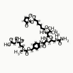 CC(C)[C@H](NC(=O)CCCCC(=O)ON1C(=O)CCC1=O)C(=O)N[C@@H](CCCNC(N)=O)C(=O)Nc1ccc(COC(=O)N(C)CCC(=O)N(C)CC(=O)O)cc1